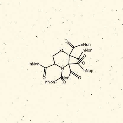 CCCCCCCCCC(=O)C1COC(C(=O)CCCCCCCCC)(C(=O)CCCCCCCCC)C(C(=O)CCCCCCCCC)(C(=O)CCCCCCCCC)N1C(=O)CCCCCCCCC